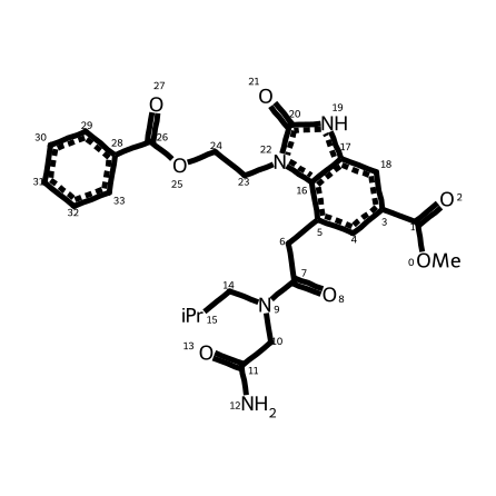 COC(=O)c1cc(CC(=O)N(CC(N)=O)CC(C)C)c2c(c1)[nH]c(=O)n2CCOC(=O)c1ccccc1